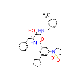 O=C(N[C@@H](Cc1ccccc1)[C@H](O)CNCc1cccc(C(F)(F)F)c1)c1cc(C2CCCC2)cc(N2CCCS2(=O)=O)c1